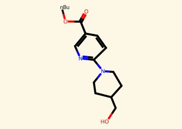 CCCCOC(=O)c1ccc(N2CCC(CO)CC2)nc1